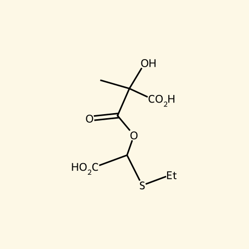 CCSC(OC(=O)C(C)(O)C(=O)O)C(=O)O